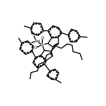 CCCCCCCC1=Cc2c(-c3ccc(C)cc3)ccc(-c3ccc(C)cc3)c2[CH]1[Zr]([Cl])([Cl])([CH]1C(CCCCCCC)=Cc2c(-c3ccc(C)cc3)ccc(-c3ccc(C)cc3)c21)[SiH](C)C